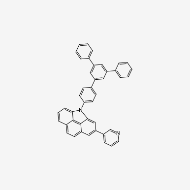 c1ccc(-c2cc(-c3ccccc3)cc(-c3ccc(-n4c5cccc6ccc7cc(-c8cccnc8)cc4c7c65)cc3)c2)cc1